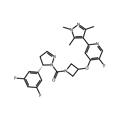 Cc1nn(C)c(C)c1-c1cc(OC2CN(C(=O)N3N=CC[C@H]3c3cc(F)cc(F)c3)C2)c(F)cn1